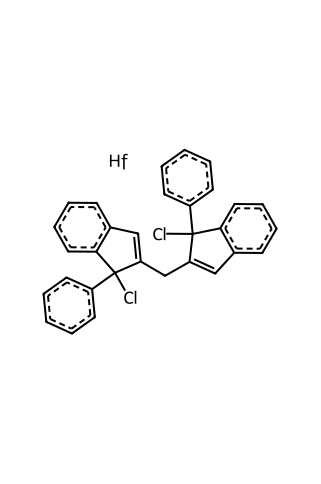 ClC1(c2ccccc2)C(CC2=Cc3ccccc3C2(Cl)c2ccccc2)=Cc2ccccc21.[Hf]